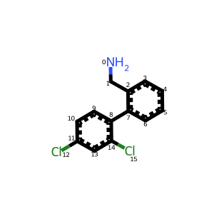 NCc1ccccc1-c1ccc(Cl)cc1Cl